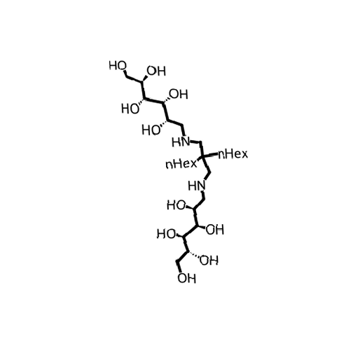 CCCCCCC(CCCCCC)(CNC[C@H](O)[C@@H](O)[C@H](O)[C@H](O)CO)CNC[C@H](O)[C@@H](O)[C@H](O)[C@H](O)CO